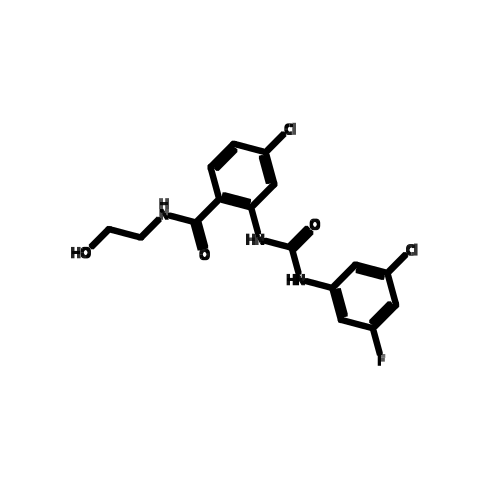 O=C(Nc1cc(F)cc(Cl)c1)Nc1cc(Cl)ccc1C(=O)NCCO